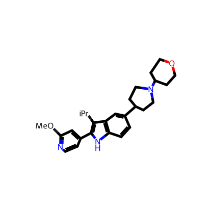 COc1cc(-c2[nH]c3ccc(C4CCN(C5CCOCC5)CC4)cc3c2C(C)C)ccn1